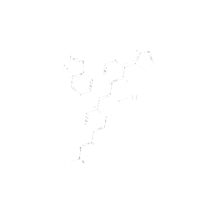 CCC(=C(c1ccc(C=CC(=O)O)cc1)c1ccc2[nH]ncc2c1)c1cccc(-c2nccs2)c1